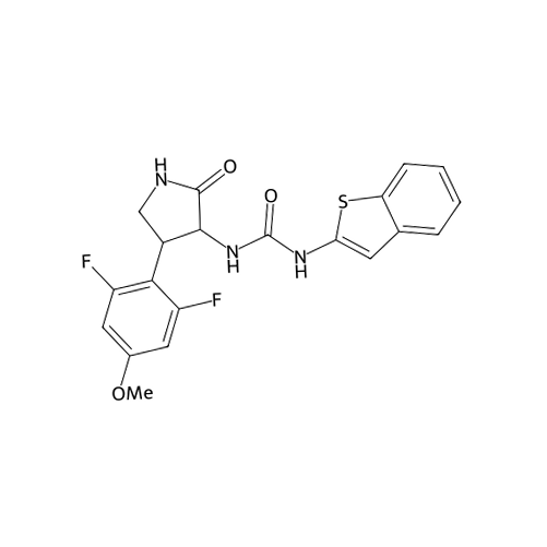 COc1cc(F)c(C2CNC(=O)C2NC(=O)Nc2cc3ccccc3s2)c(F)c1